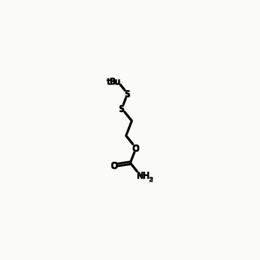 CC(C)(C)SSCCOC(N)=O